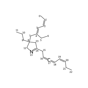 C/C=C\C=C(/CC)CC1(CCC)CN=C(CC=C=C/C=C\CC)C1